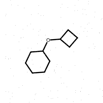 C1CCC(OC2CCC2)CC1